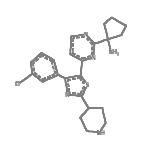 NC1(c2nccc(-c3sc(C4CCNCC4)nc3-c3cccc(Cl)c3)n2)CCCC1